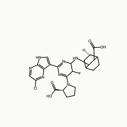 O=C(O)[C@H]1C2CCC(CC2)C1NC1N=C(c2c[nH]c3ncc(Cl)nc23)N=C(N2CCC[C@H]2C(=O)O)C1F